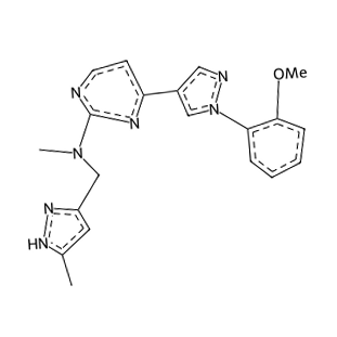 COc1ccccc1-n1cc(-c2ccnc(N(C)Cc3cc(C)[nH]n3)n2)cn1